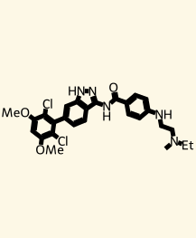 CCN(C)CCNc1ccc(C(=O)Nc2n[nH]c3cc(-c4c(Cl)c(OC)cc(OC)c4Cl)ccc23)cc1